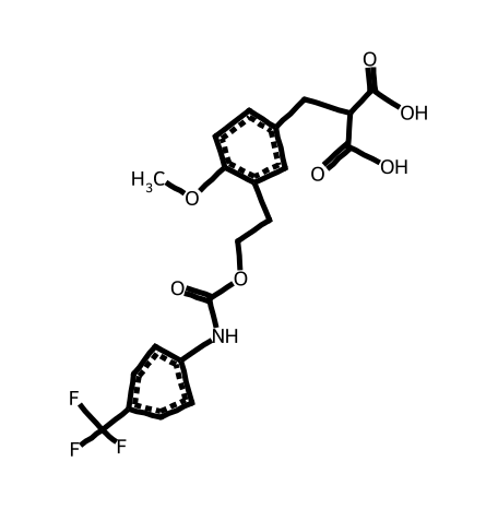 COc1ccc(CC(C(=O)O)C(=O)O)cc1CCOC(=O)Nc1ccc(C(F)(F)F)cc1